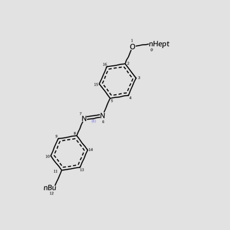 CCCCCCCOc1ccc(/N=N/c2ccc(CCCC)cc2)cc1